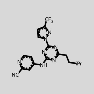 CC(C)CCc1nc(Nc2ccnc(C#N)c2)nc(-n2ccc(C(F)(F)F)n2)n1